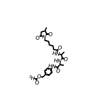 [2H]C(=O)OCc1ccc(NC(=O)C(C)NC(=O)C(C)NC(=O)CCCCCN2C(=O)CC(C)C2=O)cc1